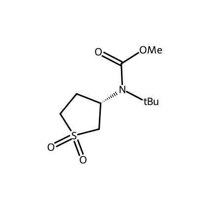 COC(=O)N([C@H]1CCS(=O)(=O)C1)C(C)(C)C